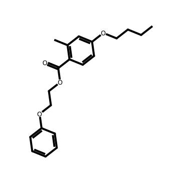 CCCCOc1ccc(C(=O)OCCOc2ccccc2)c(C)c1